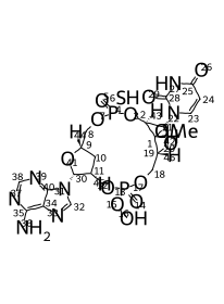 CO[C@H]1[C@H]2OP(=O)(S)OC[C@@H]3C[C@@H](OP(=O)(OO)OC[C@H]1O[C@H]2n1ccc(=O)[nH]c1=O)[C@H](n1cnc2c(N)ncnc21)O3